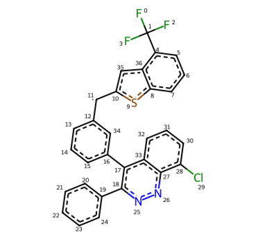 FC(F)(F)c1cccc2sc([CH]c3cccc(-c4c(-c5ccccc5)nnc5c(Cl)cccc45)c3)cc12